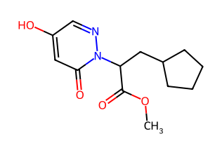 COC(=O)C(CC1CCCC1)n1ncc(O)cc1=O